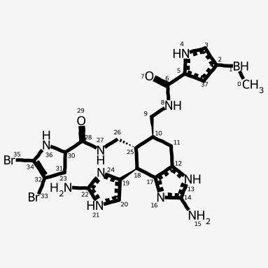 CBc1c[nH]c(C(=O)NC[C@H]2Cc3[nH]c(N)nc3[C@@H](c3c[nH]c(N)n3)[C@@H]2CNC(=O)C2CC(Br)=C(Br)N2)c1